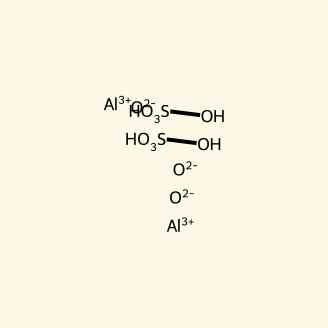 O=S(=O)(O)O.O=S(=O)(O)O.[Al+3].[Al+3].[O-2].[O-2].[O-2]